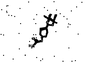 CC1(C)OC(C2=CCC(OC(N)=O)CC2)OC1(C)C